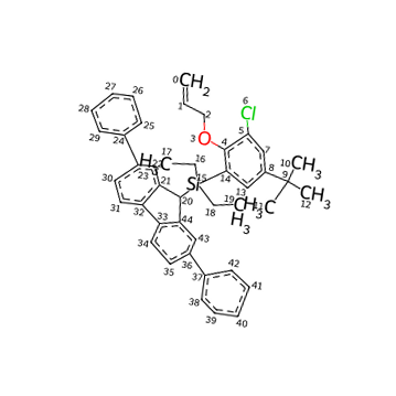 C=CCOc1c(Cl)cc(C(C)(C)C)cc1[Si](CC)(CC)C1c2cc(-c3ccccc3)ccc2-c2ccc(-c3ccccc3)cc21